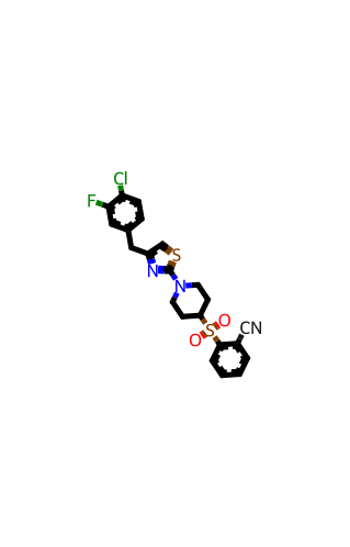 N#Cc1ccccc1S(=O)(=O)C1CCN(c2nc(Cc3ccc(Cl)c(F)c3)cs2)CC1